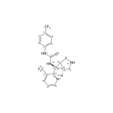 O=C(Nc1ccc(C(F)(F)F)cc1)N[C@@]1(c2ncccc2C(F)(F)F)C2CNC[C@H]21